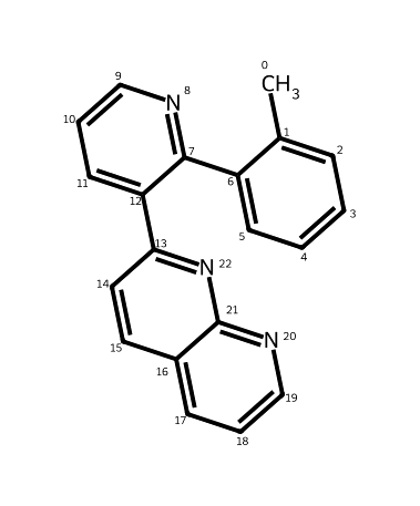 Cc1ccccc1-c1ncccc1-c1ccc2cccnc2n1